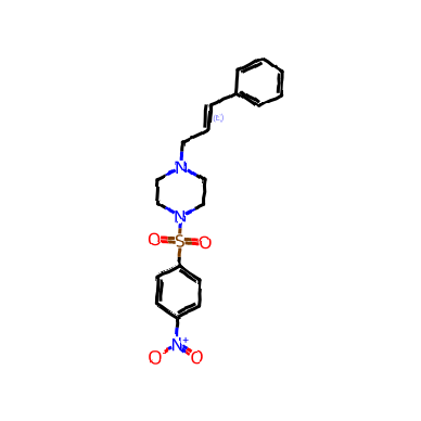 O=[N+]([O-])c1ccc(S(=O)(=O)N2CCN(C/C=C/c3ccccc3)CC2)cc1